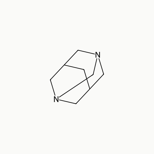 C1C2CN3CC1CN(C2)C3